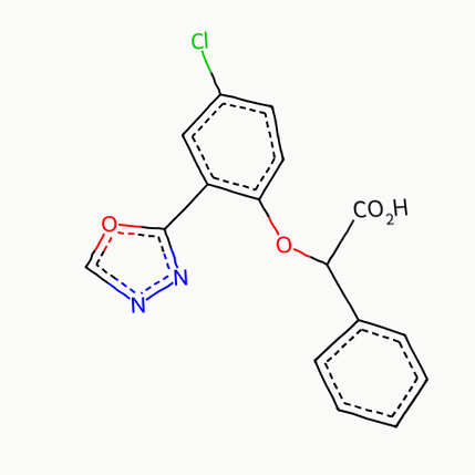 O=C(O)C(Oc1ccc(Cl)cc1-c1nnco1)c1ccccc1